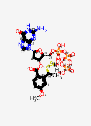 COc1ccc(C(=O)O[C@@H]2C[C@H](n3cnc4c(=O)[nH]c(N)nc43)O[C@@H]2COP(=O)(O)OP(=O)(O)OP(=O)(O)O)c(C(C)SSC)c1